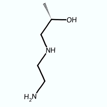 C[C@H](O)CNCCN